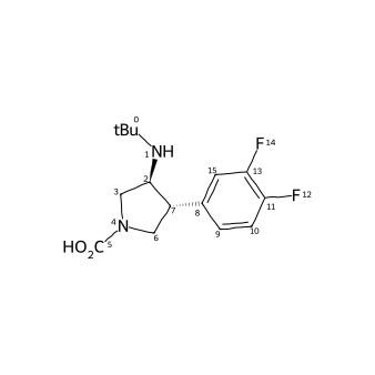 CC(C)(C)N[C@@H]1CN(C(=O)O)C[C@H]1c1ccc(F)c(F)c1